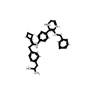 CC(O)Cc1ccc(CC(Nc2ccc(C3=C(OCc4ccccc4)N=CCN3)cc2)=C2CCC2)cc1